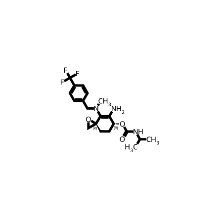 CC(C)NC(=O)O[C@@H]1CC[C@]2(CO2)C(N(C)Cc2ccc(C(F)(F)F)cc2)=C1N